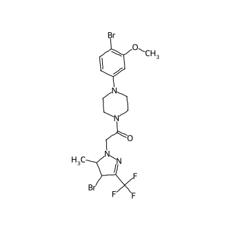 COc1cc(N2CCN(C(=O)CN3N=C(C(F)(F)F)C(Br)C3C)CC2)ccc1Br